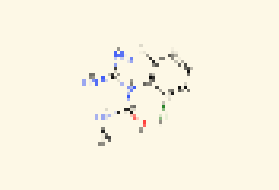 Cc1cccc(Cl)c1N(C(=N)N)C(=O)NC(C)C